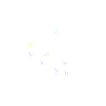 CCc1cnc(NC[C@@H]2CCCN2C(=O)c2nc(C)sc2-c2ccc(F)cc2)nc1